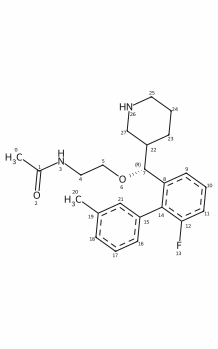 CC(=O)NCCO[C@@H](c1cccc(F)c1-c1cccc(C)c1)C1CCCNC1